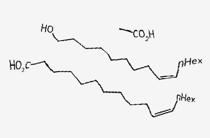 CC(=O)O.CCCCCC/C=C\CCCCCCCCCC(=O)O.CCCCCC/C=C\CCCCCCCCO